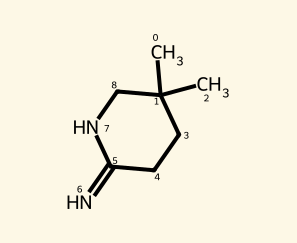 CC1(C)CCC(=N)NC1